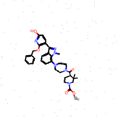 Cn1nc(-c2ccc(O)nc2OCc2ccccc2)c2cccc(N3CCN(C(=O)C4CCN(C(=O)OC(C)(C)C)CC4(C)C)CC3)c21